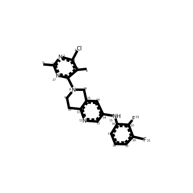 Cc1nc(Cl)c(C)c(N2CCc3ncc(Nc4cccc(F)c4F)cc3C2)n1